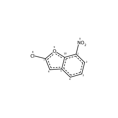 O=[N+]([O-])c1cccc2cc(Cl)oc12